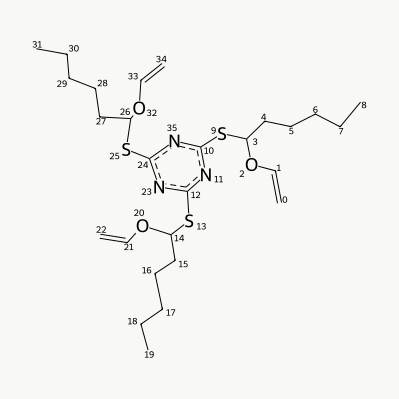 C=COC(CCCCC)Sc1nc(SC(CCCCC)OC=C)nc(SC(CCCCC)OC=C)n1